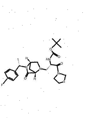 C[C@@H](c1ccc(F)cc1)N1C(=O)[C@@H]2C[C@H]1CN2C[C@H](NC(=O)OC(C)(C)C)C(=O)N1CCSC1